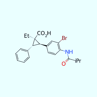 CC[C@@]1(C(=O)O)[C@@H](c2ccccc2)[C@@H]1c1ccc(NC(=O)C(C)C)c(Br)c1